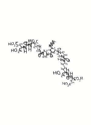 [N-]=[N+]=Nc1cc(C(=O)N2CCN(C(=O)NCCCC[C@H](NC(=O)N[C@@H](CCC(=O)O)C(=O)O)C(=O)O)CC2)cc(C(=O)N2CCN(C(=O)NCCCC[C@@H](NC(=O)N[C@H](CCC(=O)O)C(=O)O)C(=O)O)CC2)c1